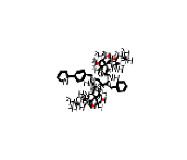 [2H]C([2H])([2H])OC(=O)N[C@H](C(=O)N[C@@H](Cc1ccccc1)[C@@H](O)CN(Cc1ccc(-c2ccccn2)cc1)NC(=O)[C@@H](NC(=O)OC([2H])([2H])[2H])C(C([2H])([2H])[2H])(C([2H])([2H])[2H])C([2H])([2H])[2H])C(C([2H])([2H])[2H])(C([2H])([2H])[2H])C([2H])([2H])[2H]